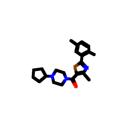 Cc1ccc(C)c(-c2nc(C)c(C(=O)N3CCN(C4CCCC4)CC3)s2)c1